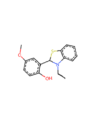 CCN1c2ccccc2SC1c1cc(OC)ccc1O